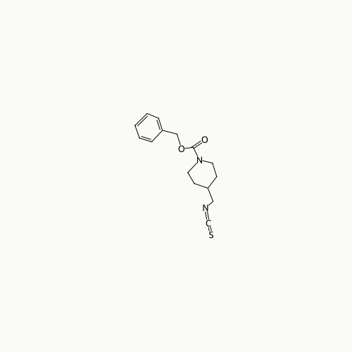 O=C(OCc1ccccc1)N1CCC(CN=C=S)CC1